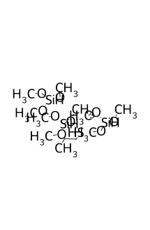 CCCS.CO[SiH](OC)OC.CO[SiH](OC)OC.CO[SiH](OC)OC